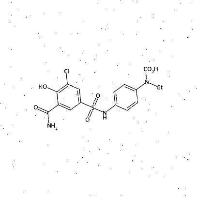 CCN(C(=O)O)c1ccc(NS(=O)(=O)c2cc(Cl)c(O)c(C(N)=O)c2)cc1